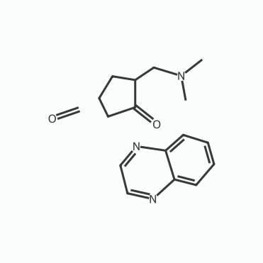 C=O.CN(C)CC1CCCC1=O.c1ccc2nccnc2c1